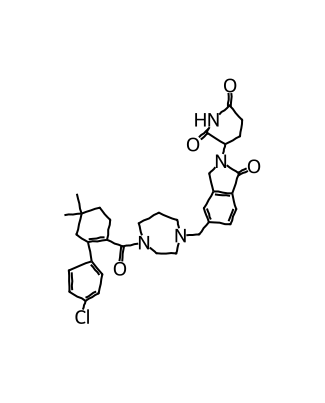 CC1(C)CCC(C(=O)N2CCCN(Cc3ccc4c(c3)CN(C3CCC(=O)NC3=O)C4=O)CC2)=C(c2ccc(Cl)cc2)C1